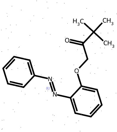 CC(C)(C)C(=O)COc1ccccc1/N=N/c1ccccc1